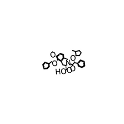 COc1ccc2c(c1OCc1ccccc1)C[C@H](C(=O)O)N(C(=O)[C@H](OC1CCCC1C)c1ccccc1)C2